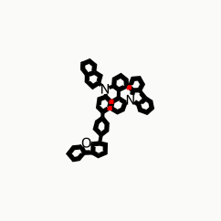 c1ccc(N(c2ccc(-c3ccc(-c4cccc5c4oc4ccccc45)cc3)cc2)c2ccc3ccccc3c2)c(-c2ccccc2-n2c3ccccc3c3ccccc32)c1